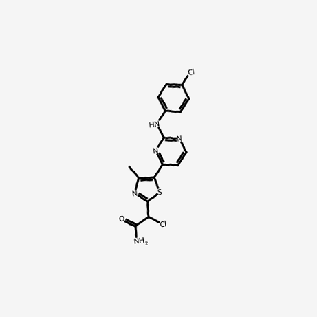 Cc1nc(C(Cl)C(N)=O)sc1-c1ccnc(Nc2ccc(Cl)cc2)n1